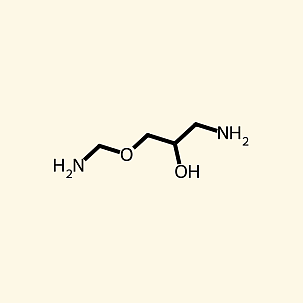 NCOCC(O)CN